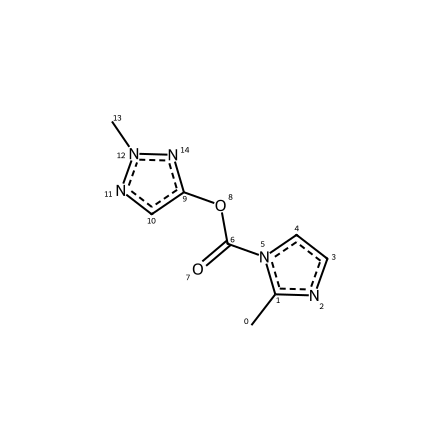 Cc1nccn1C(=O)Oc1cnn(C)n1